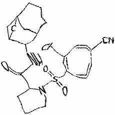 N#Cc1ccc(S(=O)(=O)N2CCCC2C(=O)NC2C3CCCC4(C3)CC2C4)c(Cl)c1